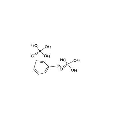 CC(C)c1ccccc1.O=P(O)(O)O.O=P(O)(O)O